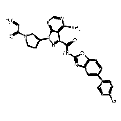 C=CC(=O)N1CCC(n2nc(C(=O)Nc3nc4cc(-c5ccc(Cl)cc5)ccc4o3)c3c(N)ncnc32)C1